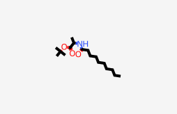 CCCCCCCCCC(=O)NC(C)C(=O)OC(C)(C)C